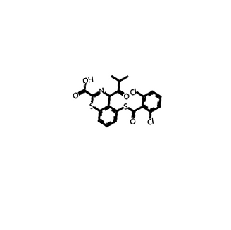 CC(C)C(=O)C1N=C(C(=O)O)Sc2cccc(SC(=O)c3c(Cl)cccc3Cl)c21